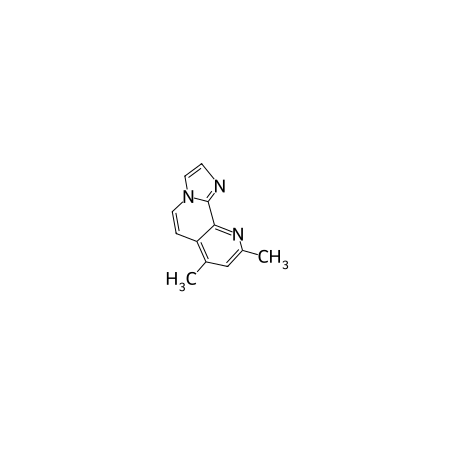 Cc1cc(C)c2ccn3ccnc3c2n1